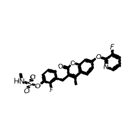 CNS(=O)(=O)Oc1cccc(Cc2c(C)c3ccc(Oc4ncccc4F)cc3oc2=O)c1F